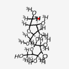 [3H]OC([3H])([3H])[C@@]1(O[C@@]2([3H])O[C@]([3H])(C([3H])([3H])O)[C@@]([3H])(O[3H])[C@]([3H])(O[3H])[C@@]2([3H])O[3H])O[C@]([3H])(C([3H])([3H])O[3H])[C@@]([3H])(O[3H])[C@]1([3H])O[3H]